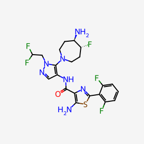 Nc1sc(-c2c(F)cccc2F)nc1C(=O)Nc1cnn(CC(F)F)c1N1CC[C@@H](N)[C@H](F)CC1